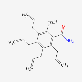 C=CCc1c(CC=C)c(CC=C)c(C(=O)O)c(C(N)=O)c1CC=C